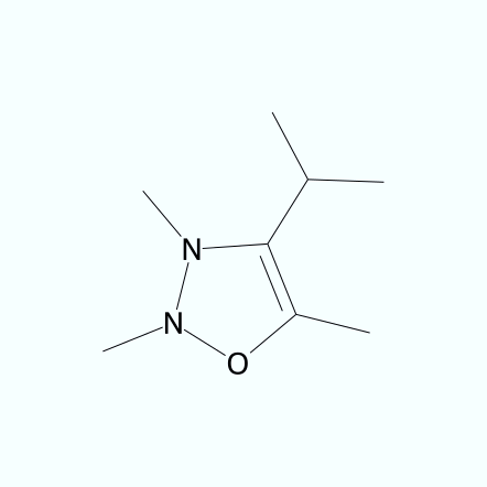 CC1=C(C(C)C)N(C)N(C)O1